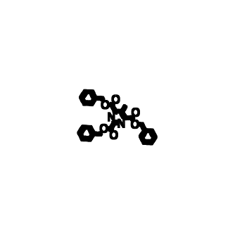 Cc1c(C(=O)OCc2ccccc2)nc(C(=O)OCc2ccccc2)nc1C(=O)OCc1ccccc1